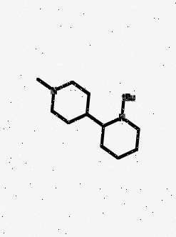 CN1CCC(C2CCCCN2C(C)(C)C)CC1